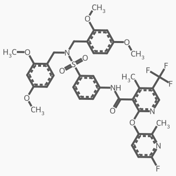 COc1ccc(CN(Cc2ccc(OC)cc2OC)S(=O)(=O)c2cccc(NC(=O)c3c(Oc4ccc(F)nc4C)ncc(C(F)(F)F)c3C)c2)c(OC)c1